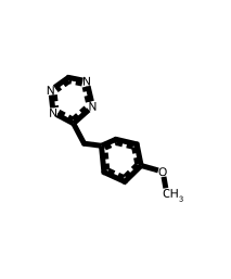 COc1ccc(Cc2nncnn2)cc1